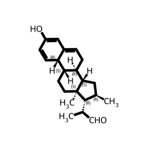 CC(C=O)[C@H]1[C@H](C)C[C@H]2[C@@H]3CC=C4C=C(O)C=C[C@H]4[C@H]3CC[C@@]21C